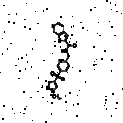 Cn1cc(S(=O)(=O)c2ccc(CNC(=O)c3cc4ccncc4s3)nc2)cn1